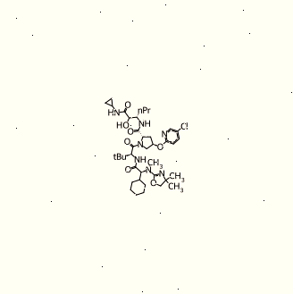 CCC[C@H](NC(=O)[C@@H]1C[C@@H](Oc2ccc(Cl)cn2)CN1C(=O)[C@@H](NC(=O)[C@H](C1CCCCC1)N(C)C1=NC(C)(C)CO1)C(C)(C)C)C(O)C(=O)NC1CC1